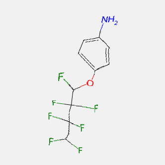 Nc1ccc(OC(F)C(F)(F)C(F)(F)C(F)F)cc1